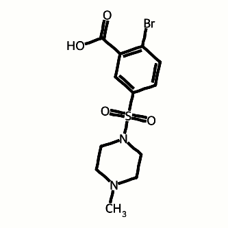 CN1CCN(S(=O)(=O)c2ccc(Br)c(C(=O)O)c2)CC1